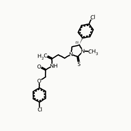 C=C(CCN1C[C@H](c2ccc(Cl)cc2)N(C)C1=S)NC(=O)COc1ccc(Cl)cc1